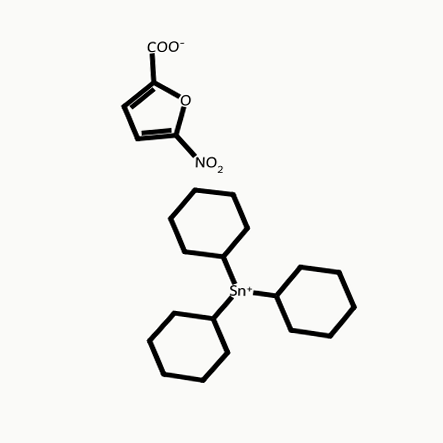 C1CC[CH]([Sn+]([CH]2CCCCC2)[CH]2CCCCC2)CC1.O=C([O-])c1ccc([N+](=O)[O-])o1